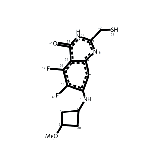 COC1CC(Nc2cc3nc(CS)[nH]c(=O)c3c(F)c2F)C1